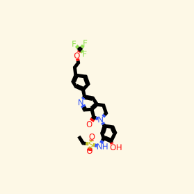 CCS(=O)(=O)Nc1cc(N2CCc3cc(-c4ccc(CCOC(F)(F)F)cc4)ncc3C2=O)ccc1O